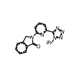 CC(C)n1nnnc1-c1cccc(N2Cc3ccccc3C2=O)n1